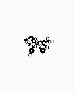 COc1ccc(CO[C@H]2[C@H]([C@H](OC(C)=O)[C@H]3OC(OC(C)=O)C=CC3=O)O[C@H](CC(CCC(=O)O)CC(=O)O)[C@@H]2OCc2ccccc2)cc1